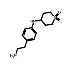 NCCc1ccc(NC2CCS(=O)(=O)CC2)cc1